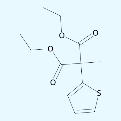 CCOC(=O)C(C)(C(=O)OCC)c1cccs1